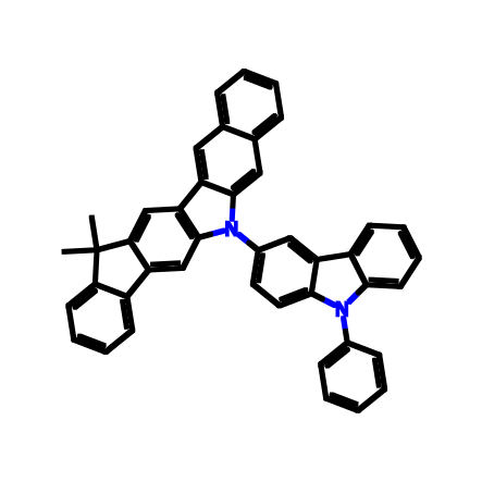 CC1(C)c2ccccc2-c2cc3c(cc21)c1cc2ccccc2cc1n3-c1ccc2c(c1)c1ccccc1n2-c1ccccc1